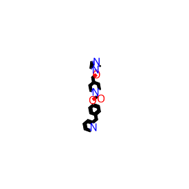 O=C(Oc1ccc(Cc2ccccn2)cc1)N1CCC(COn2ccnc2)CC1